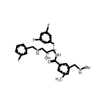 CCC(C)NCc1cc(C)cc(C(=O)N[C@@H](Cc2cc(F)cc(F)c2)[C@H](O)CNCc2cccc(I)c2)c1